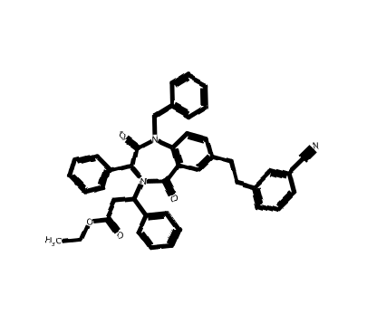 CCOC(=O)CC(c1ccccc1)N1C(=O)c2cc(CCc3cccc(C#N)c3)ccc2N(Cc2ccccc2)C(=O)C1c1ccccc1